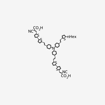 [C-]#[N+]/C(=C\c1ccc(-c2ccc(/C=C/c3ccc(N(c4ccc(/C=C/c5ccc(CCCCCC)s5)cc4)c4ccc(/C=C/c5ccc(-c6ccc(/C=C(\C#N)C(=O)O)s6)s5)cc4)cc3)s2)s1)C(=O)O